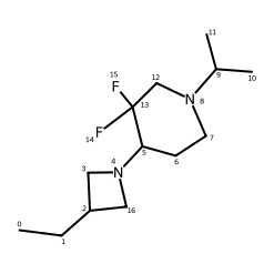 CCC1CN(C2CCN(C(C)C)CC2(F)F)C1